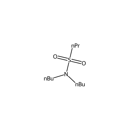 CCCCN(CCCC)S(=O)(=O)CCC